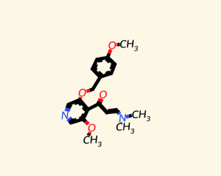 COc1ccc(COc2cncc(OC)c2C(=O)C=CN(C)C)cc1